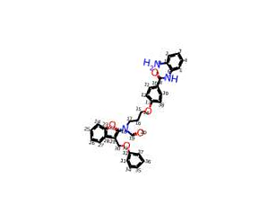 Nc1ccccc1NC(=O)c1ccc(OCCCN(C=O)c2oc3ccccc3c2COc2ccccc2)cc1